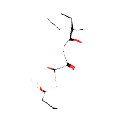 CCC(=O)OC(=O)C(=O)OC(=O)C(C)(CC)CC